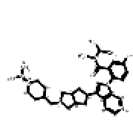 CC(C)N(C)C(=O)c1cc(F)ccc1-n1cc(C2CC3CN(CC4CCN([S+](C)[O-])CC4)CC3C2)c2ccncc21